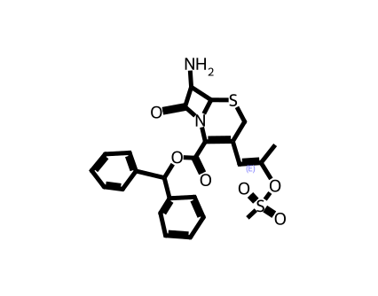 C/C(=C\C1=C(C(=O)OC(c2ccccc2)c2ccccc2)N2C(=O)C(N)C2SC1)OS(C)(=O)=O